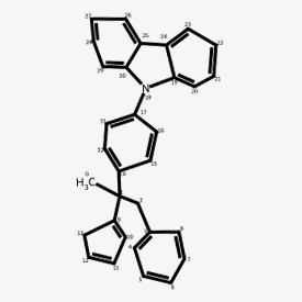 CC(Cc1ccccc1)(C1=CC=CC1)c1ccc(-n2c3ccccc3c3ccccc32)cc1